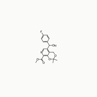 COC(=O)c1ncc(C(O)c2ccc(F)cc2)c2c1OC(C)(C)OC2